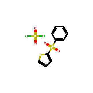 O=S(=O)(Cl)Cl.O=S(=O)(c1ccccc1)c1cccs1